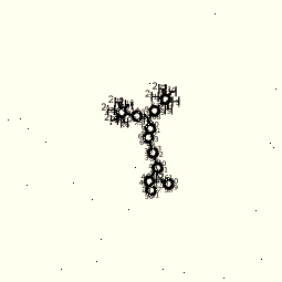 [2H]c1c([2H])c([2H])c(-c2ccc(N(c3ccc(-c4c([2H])c([2H])c([2H])c([2H])c4[2H])cc3)c3ccc4cc(-c5ccc(-c6ccc7c(c6)c6ccc8ccccc8c6n7-c6ccccc6)cc5)ccc4c3)cc2)c([2H])c1[2H]